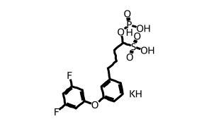 O=[PH](O)OC(CCCc1cccc(Oc2cc(F)cc(F)c2)c1)S(=O)(=O)O.[KH]